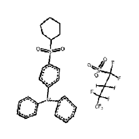 O=S(=O)([O-])C(F)(F)C(F)(F)C(F)(F)C(F)(F)F.O=S(=O)(c1ccc([S+](c2ccccc2)c2ccccc2)cc1)C1CCCCC1